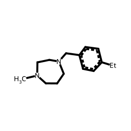 CCc1ccc(CN2CCCN(C)CC2)cc1